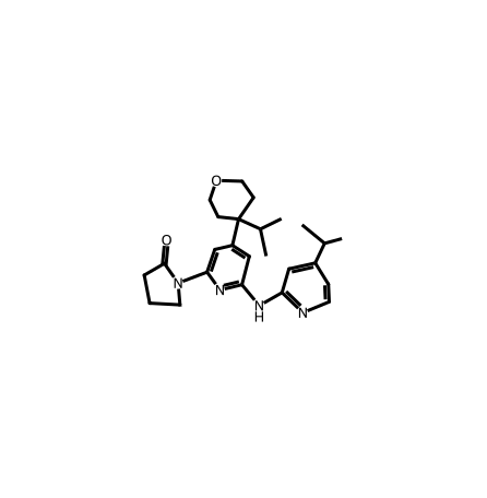 CC(C)c1ccnc(Nc2cc(C3(C(C)C)CCOCC3)cc(N3CCCC3=O)n2)c1